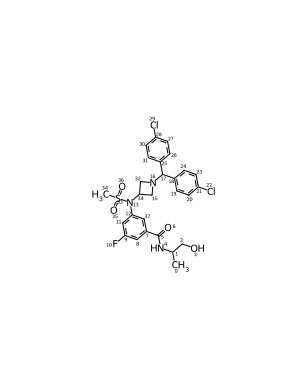 CC(CO)NC(=O)c1cc(F)cc(N(C2CN(C(c3ccc(Cl)cc3)c3ccc(Cl)cc3)C2)S(C)(=O)=O)c1